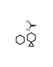 C1CCC2(CC1)CC2.C1CCCCC1.O=C(O)O